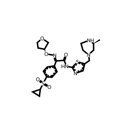 C[C@H]1CN(Cc2cnc(NC(=O)/C(=N/O[C@@H]3CCOC3)c3ccc(S(=O)(=O)C4CC4)cc3)s2)CCN1